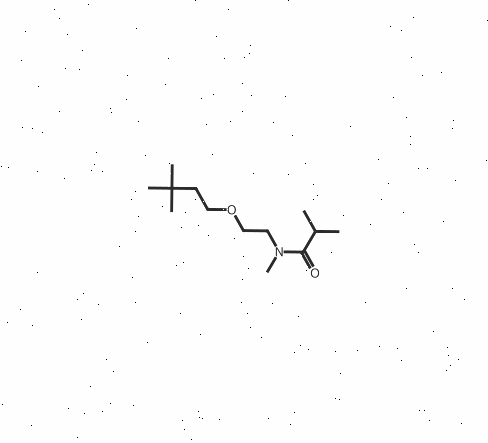 CC(C)C(=O)N(C)CCOCCC(C)(C)C